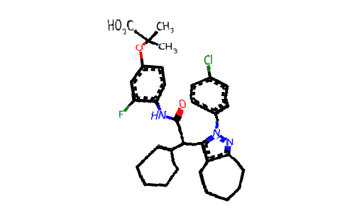 CC(C)(Oc1ccc(NC(=O)C(c2c3c(nn2-c2ccc(Cl)cc2)CCCCC3)C2CCCCC2)c(F)c1)C(=O)O